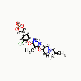 Cc1c(Oc2ccc([C@H]3CO[S@@](=O)OC3)cc2Cl)ncnc1OC1CCN(CC(C)C)CC1